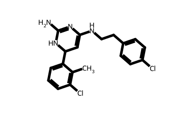 Cc1c(Cl)cccc1C1C=C(NCCc2ccc(Cl)cc2)N=C(N)N1